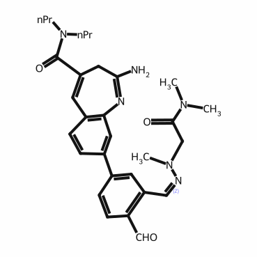 CCCN(CCC)C(=O)C1=Cc2ccc(-c3ccc(C=O)c(/C=N\N(C)CC(=O)N(C)C)c3)cc2N=C(N)C1